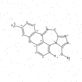 CCOc1nnc2n1-c1c(F)ccc(Cl)c1C(c1ccc(C(F)(F)F)cc1)=NC2